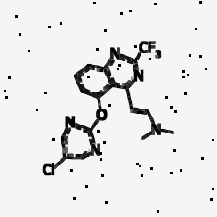 CN(C)C=Cc1nc(C(F)(F)F)nc2cccc(Oc3ncc(Cl)cn3)c12